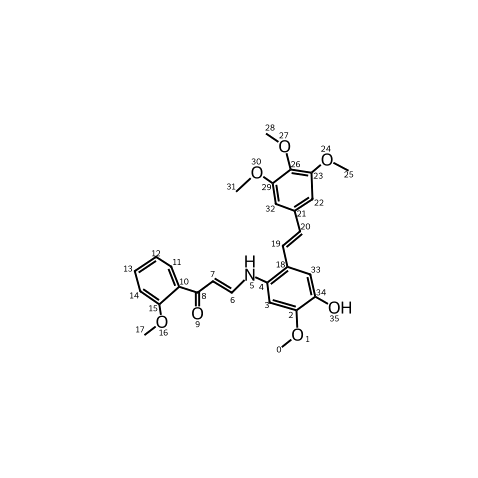 COc1cc(NC=CC(=O)c2ccccc2OC)c(C=Cc2cc(OC)c(OC)c(OC)c2)cc1O